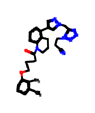 Cc1cccc(OCCCC(=O)N2CCCc3c(-c4cnn(Cc5nnnn5CCC#N)c4)cccc32)c1C